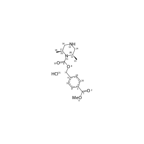 COC(=O)c1ccc(COC(=O)N2[C@H](C)CNC[C@@H]2C)cc1.Cl